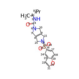 CC(C)[C@@H](C)NC(=O)N1CC2=C(C1)CN(S(=O)(=O)c1ccc3occc3c1)C2